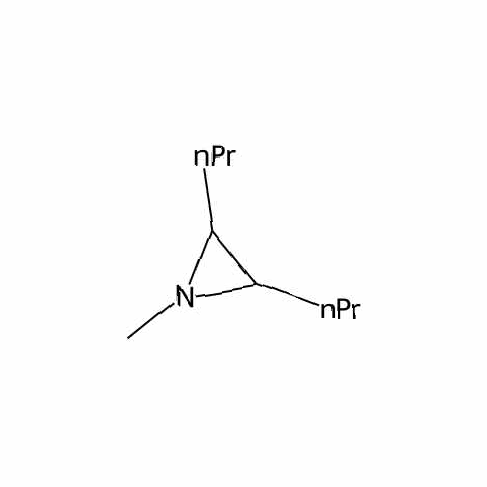 CCCC1C(CCC)N1C